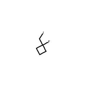 FC1(CI)CCC1